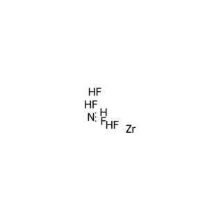 F.F.F.F.[N].[Zr]